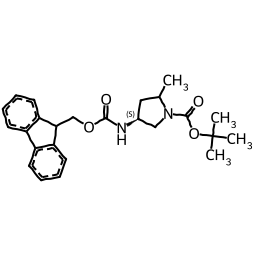 CC1C[C@H](NC(=O)OCC2c3ccccc3-c3ccccc32)CN1C(=O)OC(C)(C)C